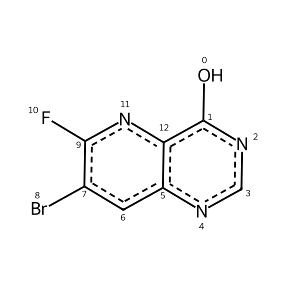 Oc1ncnc2cc(Br)c(F)nc12